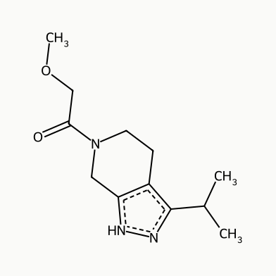 COCC(=O)N1CCc2c(C(C)C)n[nH]c2C1